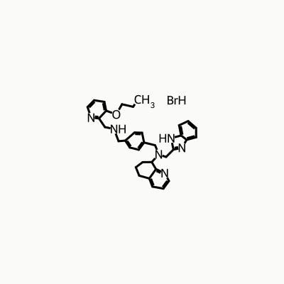 Br.CCCOc1cccnc1CNCc1ccc(CN(Cc2nc3ccccc3[nH]2)C2CCCc3cccnc32)cc1